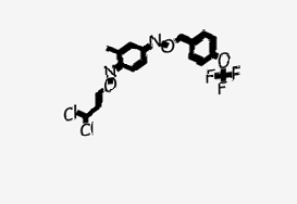 CC1=CC(=NOCc2ccc(OC(F)(F)F)cc2)C=CC1=NOC=CC(Cl)Cl